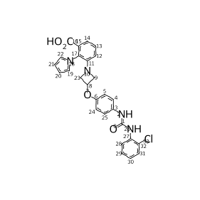 O=C(Nc1ccc(OC2CN(c3cccc(C(=O)O)c3-n3cccc3)C2)cc1)Nc1ccccc1Cl